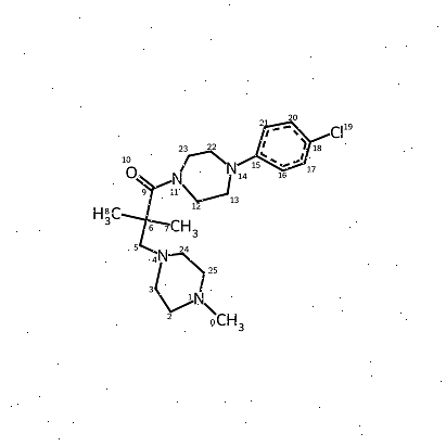 CN1CCN(CC(C)(C)C(=O)N2CCN(c3ccc(Cl)cc3)CC2)CC1